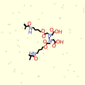 C=C(C)C(=O)NCCCCOC(=O)CN(CC(=O)O)CN(CC(=O)O)CC(=O)OCCCCNC(=O)C(=C)C